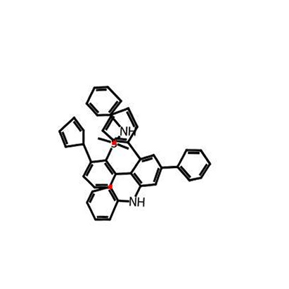 CS(C)(Nc1ccccc1)c1c(-c2c(Nc3ccccc3)cc(-c3ccccc3)cc2-c2ccccc2)cccc1C1C=CC=C1